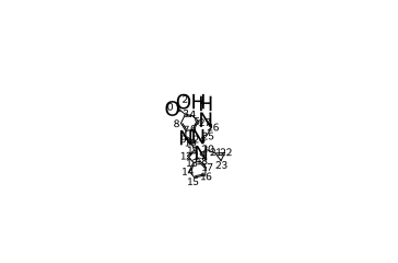 O=C(O)c1cc2c3c(c1)nc(-c1cc4ccccc4n1CC1CC1)n3CCN2